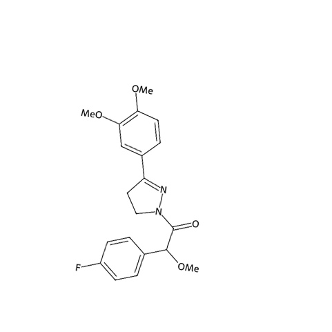 COc1ccc(C2=NN(C(=O)C(OC)c3ccc(F)cc3)CC2)cc1OC